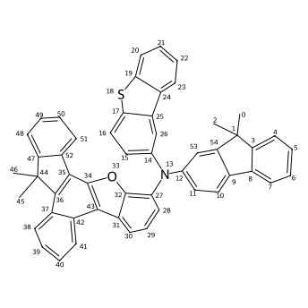 CC1(C)c2ccccc2-c2ccc(N(c3ccc4sc5ccccc5c4c3)c3cccc4c3oc3c5c(c6ccccc6c34)C(C)(C)c3ccccc3-5)cc21